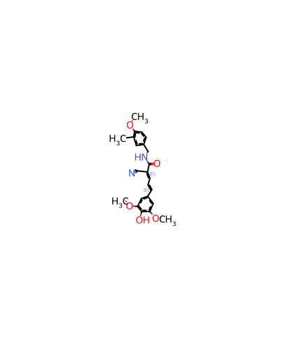 COc1ccc(CNC(=O)/C(C#N)=C/C=C/c2cc(OC)c(O)c(OC)c2)cc1C